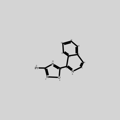 CC(C)c1noc(-c2nccc3ccccc23)n1